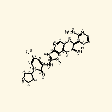 CNC1=NC=CN/C1=C(\C=N)Oc1cnc2nc(Nc3cc(C(F)(F)F)cn(C4CCOC4)c3=O)n(C)c2c1Cl